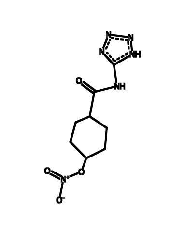 O=C(Nc1nnn[nH]1)C1CCC(O[N+](=O)[O-])CC1